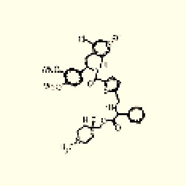 COc1ccc(C(Cc2c(Cl)c[n+]([O-])cc2Cl)OC(=O)c2ccc(CNC(C(=O)OCC3(C)CCN(C)CC3)c3ccccc3)s2)cc1OC